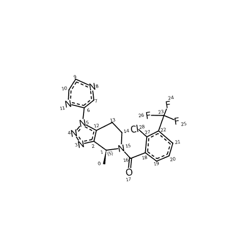 C[C@H]1c2nnn(-c3cnccn3)c2CCN1C(=O)c1cccc(C(F)(F)F)c1Cl